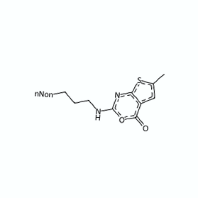 CCCCCCCCCCCCNc1nc2sc(C)cc2c(=O)o1